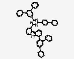 c1ccc(-c2ccc(-c3nc(-c4cc(-c5ccccc5)cc(-c5ccccc5)c4)nc(-c4cccc5oc6c(-c7ccc(-c8ccccc8)cc7-c7ccccc7)cccc6c45)n3)cc2)cc1